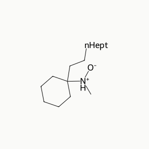 CCCCCCCCCC1([NH+](C)[O-])CCCCC1